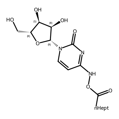 CCCCCCCC(=O)ONc1ccn([C@@H]2O[C@H](CO)[C@@H](O)[C@H]2O)c(=O)n1